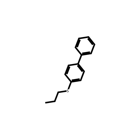 CCCSc1ccc(-c2ccccc2)cc1